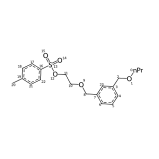 CCCOCc1cccc(COCCOS(=O)(=O)c2ccc(C)cc2)c1